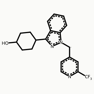 OC1CCC(c2nn([CH]c3ccnc(C(F)(F)F)c3)c3ccccc23)CC1